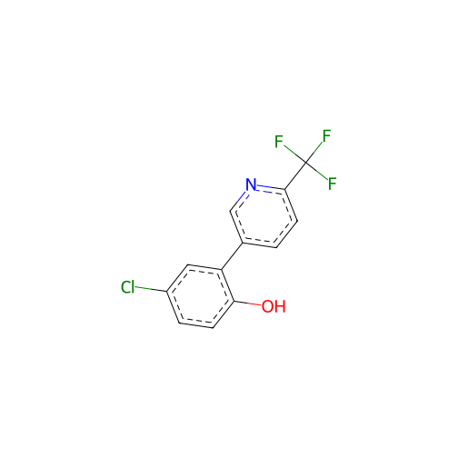 Oc1ccc(Cl)cc1-c1ccc(C(F)(F)F)nc1